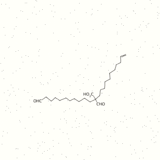 C=CCCCCCCCCCC(C=O)(CCCCCCCCCCC=O)C(=O)O